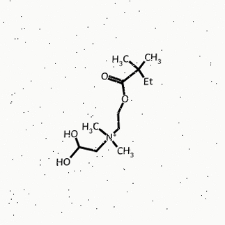 CCC(C)(C)C(=O)OCC[N+](C)(C)CC(O)O